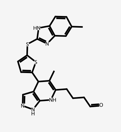 CC1=C(CCCC=O)Nc2[nH]ncc2C1c1ccc(Sc2nc3cc(C)ccc3[nH]2)s1